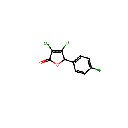 O=C1OC(c2ccc(F)cc2)C(Cl)=C1Cl